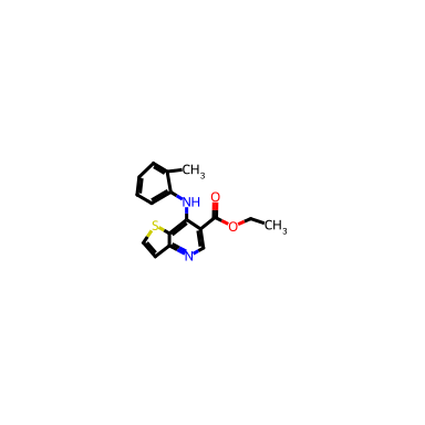 CCOC(=O)c1cnc2ccsc2c1Nc1ccccc1C